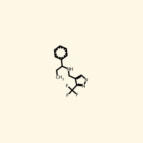 CCC(NCC1=C[N]N=C1C(F)(F)F)c1ccccc1